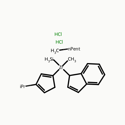 CC(C)C1=CC[C]([Zr]([CH3])([SiH3])[CH]2C=Cc3ccccc32)=C1.CCCCCC.Cl.Cl